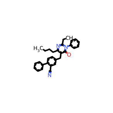 CCCCc1nc(CC)n(-c2ccccc2)c(=O)c1Cc1ccc(-c2ccccc2)c(C#N)c1